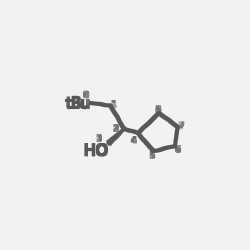 CC(C)(C)C[C@H](O)C1CCCC1